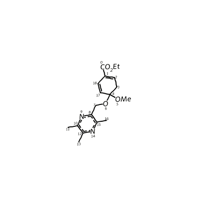 CCOC(=O)C1=CCC(OC)(OCc2nc(C)c(C)nc2C)C=C1